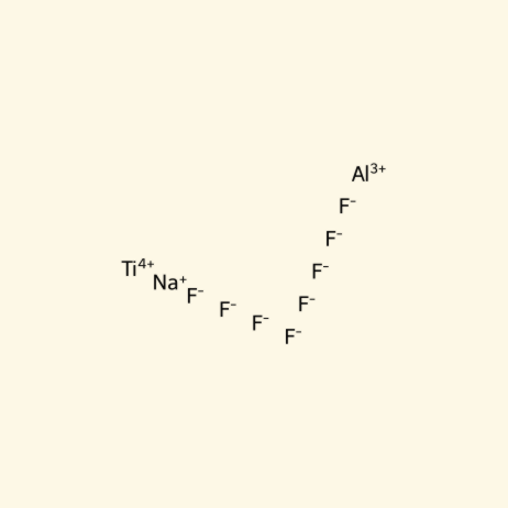 [Al+3].[F-].[F-].[F-].[F-].[F-].[F-].[F-].[F-].[Na+].[Ti+4]